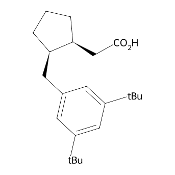 CC(C)(C)c1cc(C[C@H]2CCC[C@H]2CC(=O)O)cc(C(C)(C)C)c1